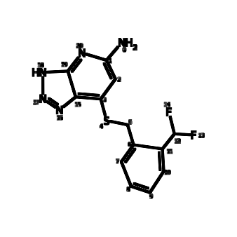 Nc1cc(SCc2ccccc2C(F)F)c2nn[nH]c2n1